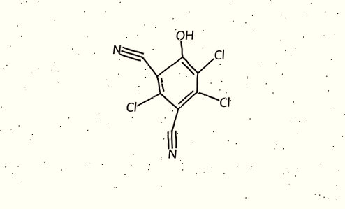 N#Cc1c(O)c(Cl)c(Cl)c(C#N)c1Cl